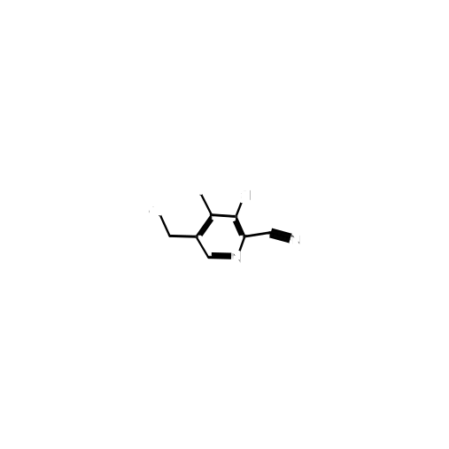 N#Cc1ncc(CCl)c(I)c1Cl